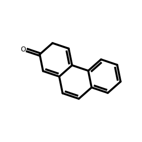 O=C1C=c2ccc3ccccc3c2=CC1